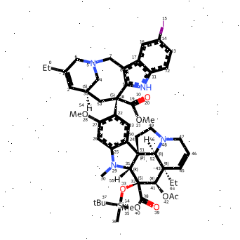 CCC1=C[C@H]2CN(C1)Cc1c([nH]c3ccc(I)cc13)[C@@](C(=O)OC)(c1cc3c(cc1OC)N(C)[C@H]1[C@@](O[Si](C)(C)C(C)(C)C)(C(=O)OC)[C@H](OC(C)=O)[C@]4(CC)C=CCN5CC[C@]31[C@@H]54)C2